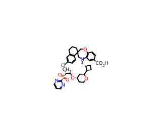 C[C@H](CO[C@H]1CCO[C@H]([C@@H]2CC[C@H]2CN2CC3(CCCc4cc(Cl)ccc43)COc3ccc(C(=O)O)cc32)C1)S(=O)(=O)c1ncccn1